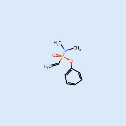 C=CP(=O)(Oc1ccccc1)N(C)C